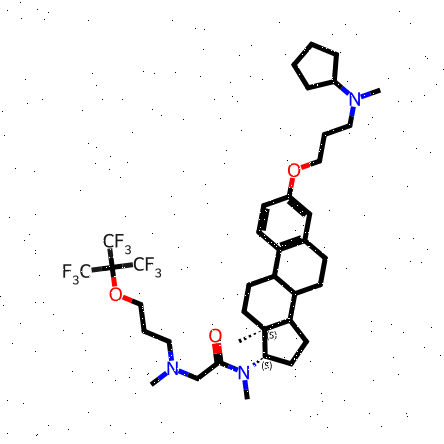 CN(CCCOC(C(F)(F)F)(C(F)(F)F)C(F)(F)F)CC(=O)N(C)[C@H]1CCC2C3CCc4cc(OCCCN(C)C5CCCC5)ccc4C3CC[C@@]21C